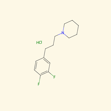 Cl.Fc1ccc(CCCN2CCCCC2)cc1F